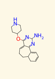 NC1N=C(OC2CCNCC2)C2=CCCC3CC=CC=C3C2=N1